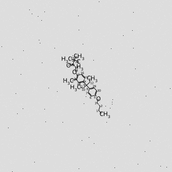 CCCCOc1ccc(C(CC)(CC)c2ccc(OCC(=O)C(C)(C)C)c(C)c2)cc1